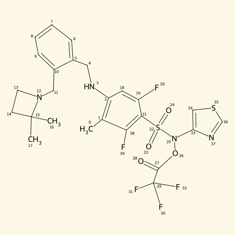 Cc1c(NCc2ccccc2CN2CCC2(C)C)cc(F)c(S(=O)(=O)N(OC(=O)C(F)(F)F)c2cscn2)c1F